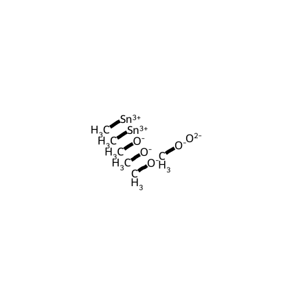 C[O-].C[O-].C[O-].C[O-].[CH3][Sn+3].[CH3][Sn+3].[O-2]